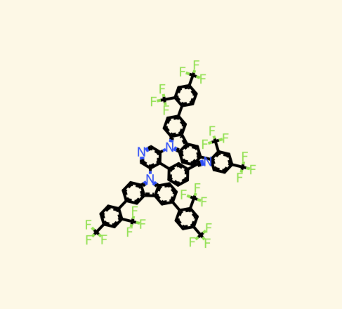 N#Cc1cccc(-c2c(-n3c4ccc(-c5ccc(C(F)(F)F)cc5C(F)(F)F)cc4c4cc(-c5ccc(C(F)(F)F)cc5C(F)(F)F)ccc43)cncc2-n2c3ccc(-c4ccc(C(F)(F)F)cc4C(F)(F)F)cc3c3cc(-c4ccc(C(F)(F)F)cc4C(F)(F)F)ccc32)c1